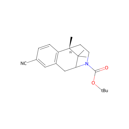 CC(C)(C)OC(=O)N1CC[C@@]2(C)c3ccc(C#N)cc3CC1C2(C)C